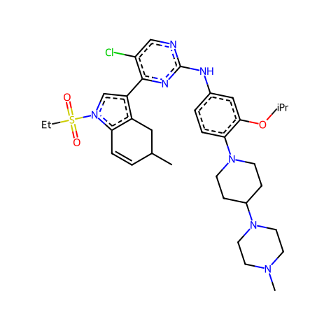 CCS(=O)(=O)n1cc(-c2nc(Nc3ccc(N4CCC(N5CCN(C)CC5)CC4)c(OC(C)C)c3)ncc2Cl)c2c1C=CC(C)C2